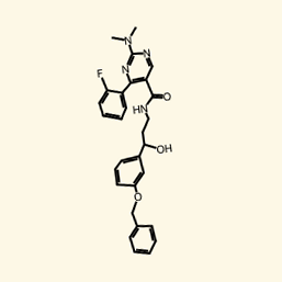 CN(C)c1ncc(C(=O)NCCC(O)c2cccc(OCc3ccccc3)c2)c(-c2ccccc2F)n1